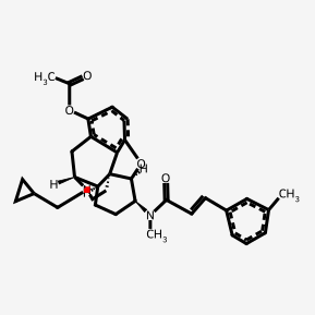 CC(=O)Oc1ccc2c3c1C[C@@H]1[C@@H]4CC[C@H](N(C)C(=O)C=Cc5cccc(C)c5)[C@H](O2)[C@]34CCN1CC1CC1